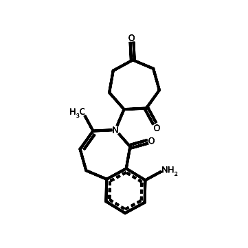 CC1=CCc2cccc(N)c2C(=O)N1C1CCC(=O)CCC1=O